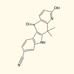 CC1(C)c2nc(O)ccc2C(=O)c2c1[nH]c1cc(C#N)ccc21